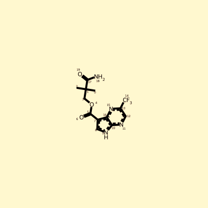 CC(C)(COC(=O)c1c[nH]c2ncc(C(F)(F)F)nc12)C(N)=O